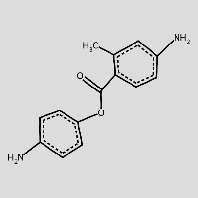 Cc1cc(N)ccc1C(=O)Oc1ccc(N)cc1